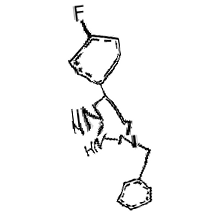 Fc1ccc(C2=CN(Cc3ccccc3)NN2)cc1